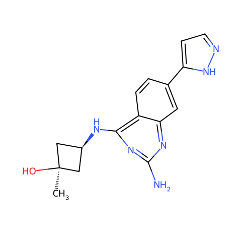 C[C@]1(O)C[C@@H](Nc2nc(N)nc3cc(-c4ccn[nH]4)ccc23)C1